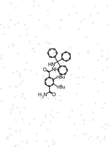 CCCCc1c(C(N)=O)ccc(C(=O)NNC(c2ccccc2)(c2ccccc2)c2ccccc2)c1CCCC